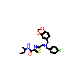 CCC(C)NC(=O)c1csc(CN(Cc2ccc(Cl)cc2)Cc2ccc3c(c2)OCO3)n1